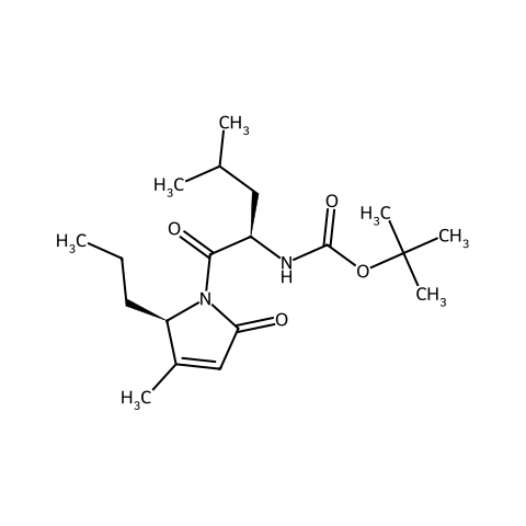 CCC[C@@H]1C(C)=CC(=O)N1C(=O)[C@@H](CC(C)C)NC(=O)OC(C)(C)C